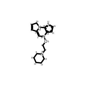 C1=CC2=CN(OCCN3CCCCC3)c3ccsc3N2C1